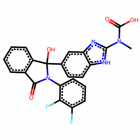 CN(C(=O)O)c1nc2cc(C3(O)c4ccccc4C(=O)N3c3cccc(F)c3F)ccc2[nH]1